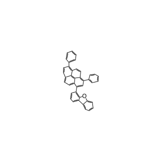 c1ccc(-c2ccc3ccc4c(-c5cccc6c5oc5ccccc56)cc(-c5ccccc5)c5ccc2c3c54)cc1